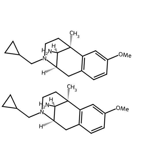 COc1ccc2c(c1)[C@]1(C)CCN(CC3CC3)[C@H](C2)[C@H]1N.COc1ccc2c(c1)[C@]1(C)CCN(CC3CC3)[C@H](C2)[C@H]1N